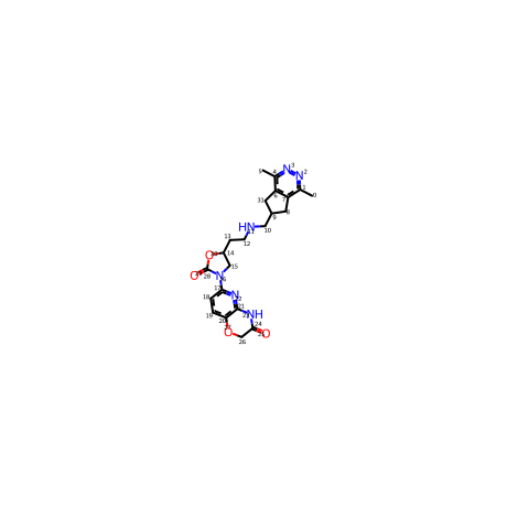 Cc1nnc(C)c2c1CC(CNCCC1CN(c3ccc4c(n3)NC(=O)CO4)C(=O)O1)C2